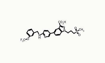 CS(=O)(=O)CCCn1nc(C(=O)O)c2cc(-c3ccc(NCc4cccc(OC(F)(F)F)c4)nc3)ccc21